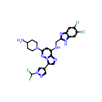 NC1CCN(c2cc(NCc3nc4cc(Cl)c(Cl)cc4[nH]3)c3ncc(-c4cnn(C(F)F)c4)n3n2)CC1